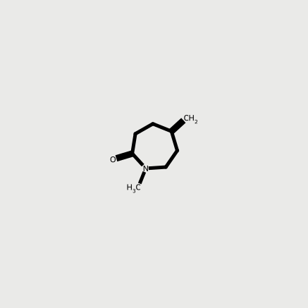 C=C1CCC(=O)N(C)CC1